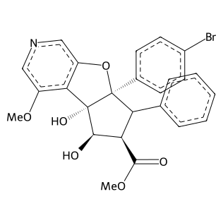 COC(=O)[C@@H]1C(c2ccccc2)[C@]2(c3ccc(Br)cc3)Oc3cncc(OC)c3[C@]2(O)[C@@H]1O